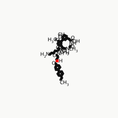 CCCc1ccc(-c2ccc(C(=O)NCCC(=O)NC(CCCCN)C(=O)N(C)[C@@H]3C(=O)N[C@@H](C)C(=O)N[C@H](C(=O)O)Cc4ccc(OC)c(c4)-c4cc3ccc4OC)cc2)cc1